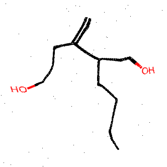 C=C(CCO)C(CO)CCCC